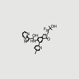 Cc1ccc(-c2cc3c(cc2NC(O)c2cnn4cccnc24)CN(C[C@@H](F)C(C)(C)O)C3=O)nc1